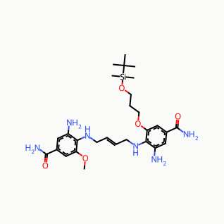 COc1cc(C(N)=O)cc(N)c1NCC=CCNc1c(N)cc(C(N)=O)cc1OCCCO[Si](C)(C)C(C)(C)C